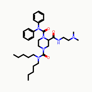 CCCCCN(CCCCC)C(=O)N1CCN(C(=O)N(c2ccccc2)c2ccccc2)C(C(=O)NCCN(C)C)C1